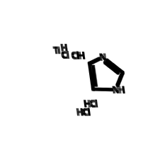 Cl.Cl.Cl.Cl.[Ti].c1c[nH]cn1